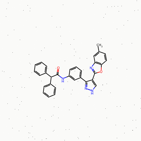 Cc1ccc2oc(-c3c[nH]nc3-c3cccc(NC(=O)C(c4ccccc4)c4ccccc4)c3)nc2c1